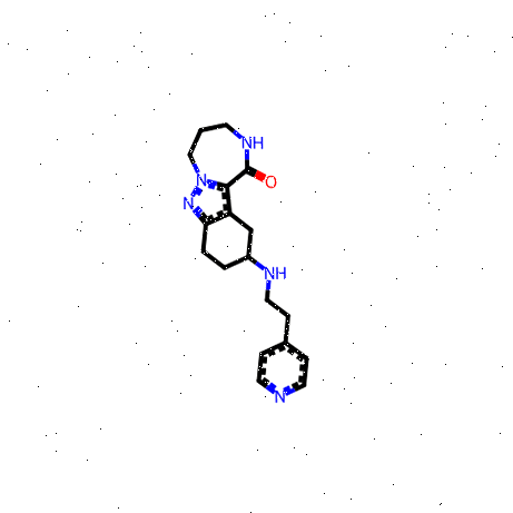 O=C1NCCCn2nc3c(c21)CC(NCCc1ccncc1)CC3